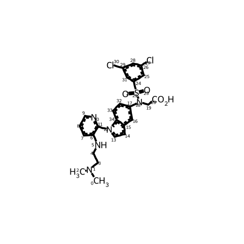 CN(C)CCNc1cccnc1-n1ccc2cc(N(CC(=O)O)S(=O)(=O)c3cc(Cl)cc(Cl)c3)ccc21